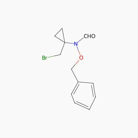 O=CN(OCc1ccccc1)C1(CBr)CC1